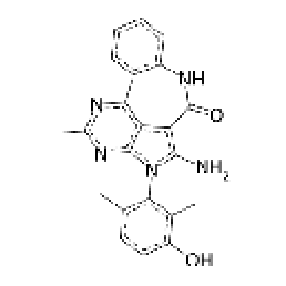 Cc1nc2c3c(c(N)n(-c4c(C)ccc(O)c4C)c3n1)C(=O)Nc1ccccc1-2